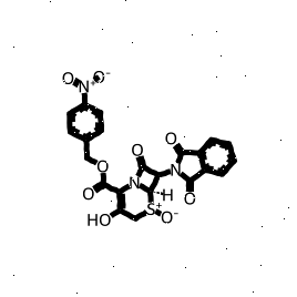 O=C(OCc1ccc([N+](=O)[O-])cc1)C1=C(O)C[S+]([O-])[C@@H]2C(N3C(=O)c4ccccc4C3=O)C(=O)N12